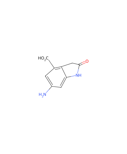 Nc1cc2c(c(C(=O)O)c1)CC(=O)N2